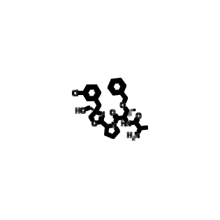 CC(N)C(=O)NC(C(=O)N1CCCC1C1=N[C@](CO)(Cc2cccc(Cl)c2)CO1)[C@@H](C)OCc1ccccc1